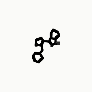 c1ccc(Cc2occc2-c2n[nH]c3ccccc23)cc1